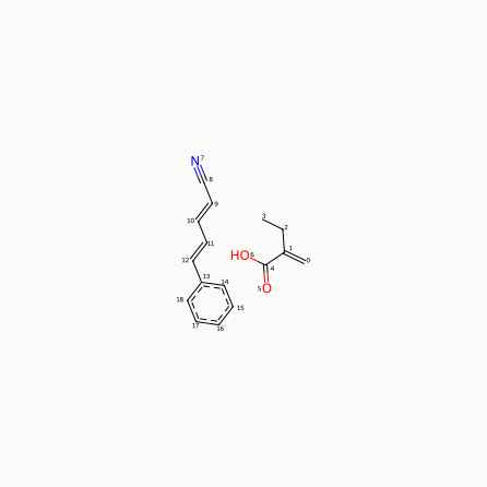 C=C(CC)C(=O)O.N#CC=CC=Cc1ccccc1